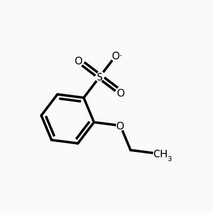 CCOc1ccccc1S([O])(=O)=O